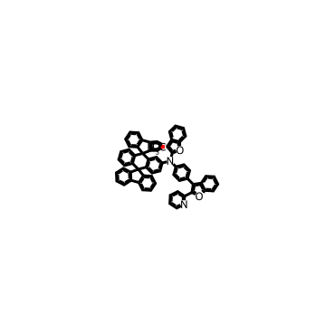 Cc1c(N(c2ccc(-c3c(-c4ccccn4)oc4ccccc34)cc2)c2ccc3c(c2)C2(c4ccccc4-c4ccccc42)c2ccccc2C32c3ccccc3-c3ccccc32)oc2ccccc12